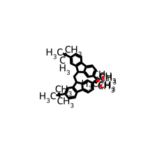 CC(C)(C)c1ccc2c(c1)C(CC1c3cc(C(C)(C)C)ccc3-c3ccc(C(C)(C)C)cc31)c1cc(C(C)(C)C)ccc1-2